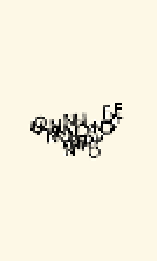 CC(C(=O)NCc1ccc(C(F)(F)F)cn1)(c1ccccc1)n1ncc2c1nc(N)n1nc(-c3ccco3)nc21